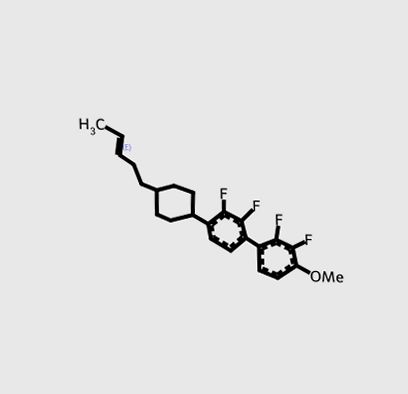 C/C=C/CCC1CCC(c2ccc(-c3ccc(OC)c(F)c3F)c(F)c2F)CC1